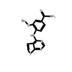 CCC(C)Oc1cc(C(N)=O)ccc1Nc1ncnc2sccc12